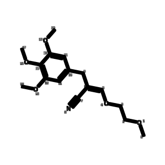 COCCO/C=C(\C#N)Cc1cc(OC)c(OC)c(OC)c1